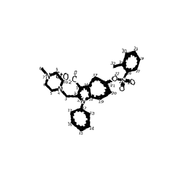 CCOC(=O)c1c(CN2CCN(C)CC2)n(-c2ccccc2)c2ccc(OS(=O)(=O)c3ccccc3C)cc12